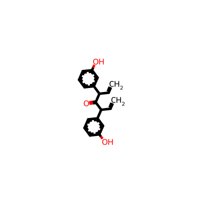 C=CC(C(=O)C(C=C)c1cccc(O)c1)c1cccc(O)c1